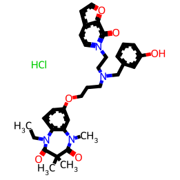 CCN1C(=O)C(C)(C)C(=O)N(C)c2cc(OCCCN(CCn3ccc4ccoc4c3=O)Cc3cccc(O)c3)ccc21.Cl